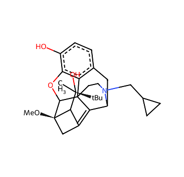 CO[C@@]12CC(=C3C4Cc5ccc(O)c6c5C3(CCN4CC3CC3)C1O6)C2[C@](C)(O)C(C)(C)C